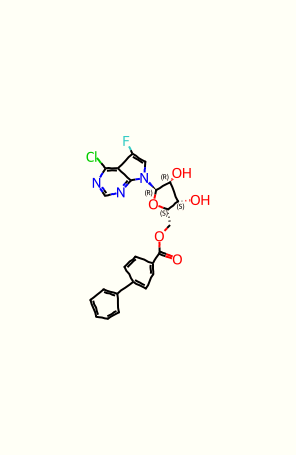 O=C(OC[C@@H]1O[C@@H](n2cc(F)c3c(Cl)ncnc32)[C@H](O)[C@@H]1O)c1ccc(-c2ccccc2)cc1